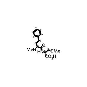 CN[C@@H](CCc1ccccc1)C(=O)N[C@@H](COC)C(=O)O